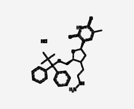 Cc1cn([C@H]2CC(CCNN)[C@@H](CO[Si](c3ccccc3)(c3ccccc3)C(C)(C)C)O2)c(=O)[nH]c1=O.Cl